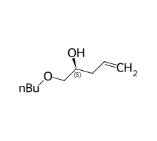 C=CC[C@H](O)COCCCC